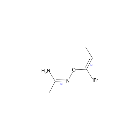 C/C=C(\O/N=C(/C)N)C(C)C